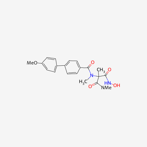 CNC(=O)C(C)(C(=O)NO)N(C)C(=O)c1ccc(-c2ccc(OC)cc2)cc1